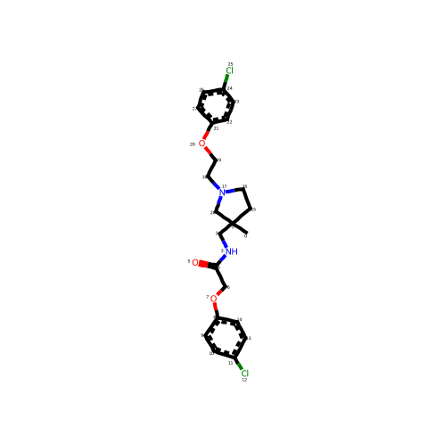 CC1(CNC(=O)COc2ccc(Cl)cc2)CCN(CCOc2ccc(Cl)cc2)C1